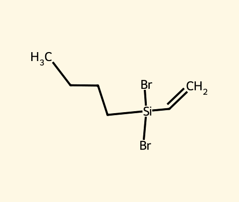 C=C[Si](Br)(Br)CCCC